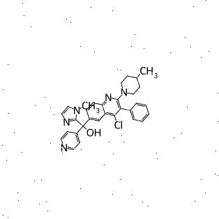 CC1CCN(c2nc3ccc(C(O)(c4ccncc4)c4nccn4C)cc3c(Cl)c2-c2ccccc2)CC1